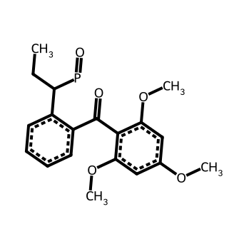 CCC(P=O)c1ccccc1C(=O)c1c(OC)cc(OC)cc1OC